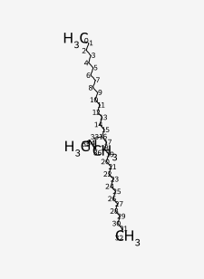 CCCCCCCCCCCCCCCCC(CCCCCCCCCCCCCCCC)CN(C)C